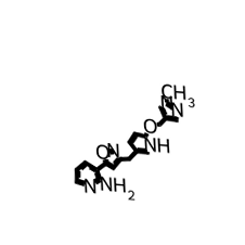 Cn1cc(COC2C=CC(Cc3cc(-c4cccnc4N)on3)=CN2)cn1